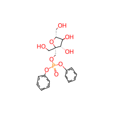 O=P(OC[C@]1(CO)O[C@H](CO)[C@@H](O)[C@@H]1O)(Oc1ccccc1)Oc1ccccc1